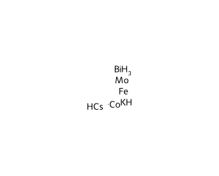 [BiH3].[Co].[CsH].[Fe].[KH].[Mo]